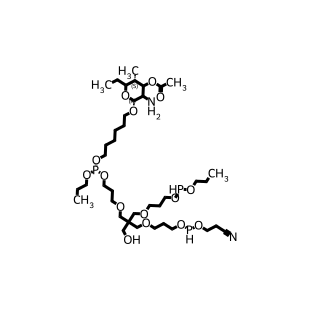 CCCOPOCCCOCC(CO)(COCCCOPOCCC#N)COCCCOP(OCCC)OCCCCCCO[C@@H]1OC(CC)[C@H](C)C(OC(C)=O)C1N